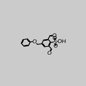 O=Cc1cc(COc2ccccc2)cc(C=O)c1S(=O)(=O)O